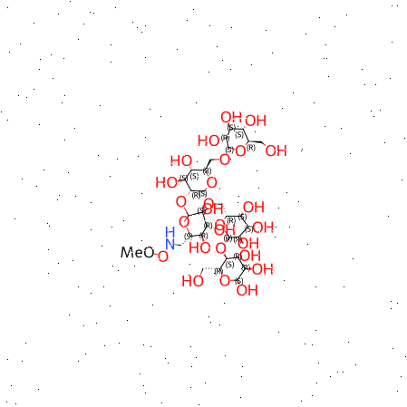 COONC[C@@H]1OC(O[C@H]2[C@@H](OC[C@H]3O[C@H](O[C@H]4[C@H](O)[C@@H](O)[C@@H](O)O[C@@H]4CO)[C@H](O)[C@@H](O)[C@@H]3O)O[C@H](CO[C@H]3O[C@H](CO)[C@@H](O)[C@H](O)[C@H]3O)[C@@H](O)[C@@H]2O)[C@@H](O)[C@H](O)[C@H]1O